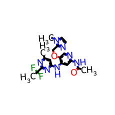 CC(=O)Nc1cc(Nc2cc(C)nc(C(C)(F)F)n2)c(OCc2nccn2C)cn1